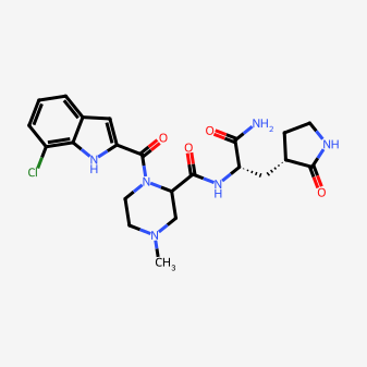 CN1CCN(C(=O)c2cc3cccc(Cl)c3[nH]2)C(C(=O)N[C@@H](C[C@@H]2CCNC2=O)C(N)=O)C1